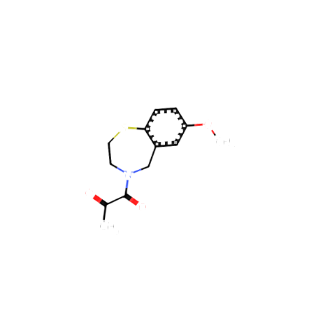 COc1ccc2c(c1)CN(C(=O)C(C)=O)CCS2